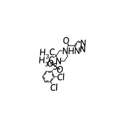 CC1(C)CN(C(=O)c2cnn[nH]2)CCN1S(=O)(=O)c1cccc(Cl)c1Cl